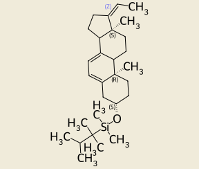 C/C=C1/CCC2C3=CC=C4C[C@@H](O[Si](C)(C)C(C)(C)C(C)C)CC[C@]4(C)C3CC[C@]12C